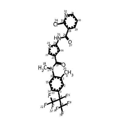 Cc1cc(C(F)(C(F)(F)F)C(F)(F)F)ccc1N(C)C(=O)c1csc(NC(=O)c2cccnc2Cl)c1